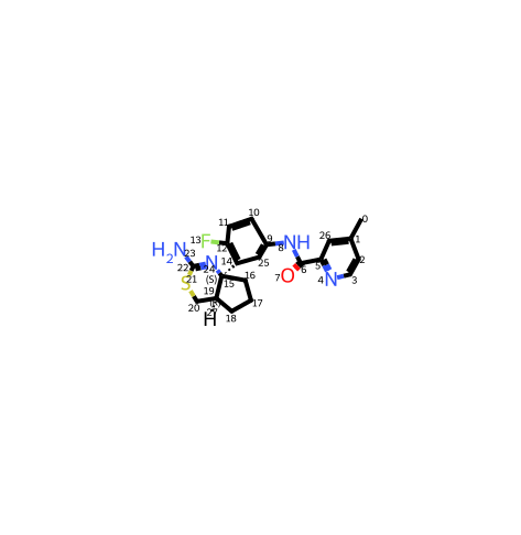 Cc1ccnc(C(=O)Nc2ccc(F)c([C@]34CCC[C@H]3CSC(N)=N4)c2)c1